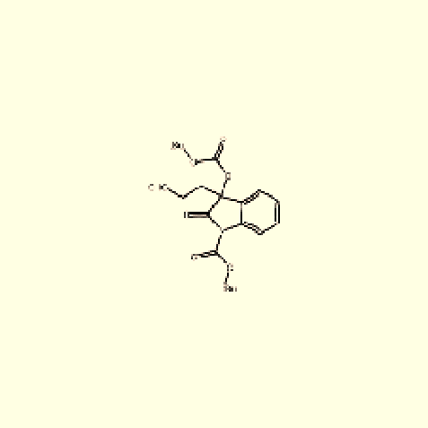 CC(C)(C)OC(=O)OC1(CCC=O)C(=O)N(C(=O)OC(C)(C)C)c2ccccc21